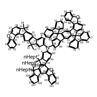 CCCCCCCC1(CCCCCCC)c2cc(N(c3ccc4c(c3)C(C)(C)c3cc5c(cc3-4)C(C)(C)c3ccc4oc6ccccc6c4c3-5)c3ccc4c(c3)C3(c5ccccc5-c5ccccc53)c3cc5c(cc3-4)C3(c4ccccc4-c4ccccc43)c3ccc4oc6ccccc6c4c3-5)ccc2-c2c1c1c(c3c2oc2ccccc23)-c2ccccc2C1(CCCCCCC)CCCCCCC